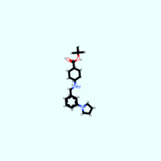 CC(C)(C)OC(=O)C1CCC(NCc2cccc(N3CCCC3)c2)CC1